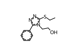 CCSc1nnc(-c2ccccc2)n1CCO